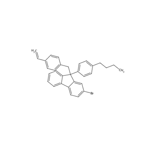 C=Cc1ccc(CC2(c3ccc(CCCC)cc3)c3ccccc3-c3ccc(Br)cc32)cc1